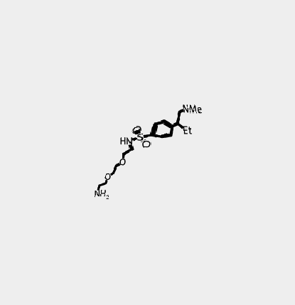 CCC(CNC)c1ccc(S(=O)(=O)NCCOCCOCCN)cc1